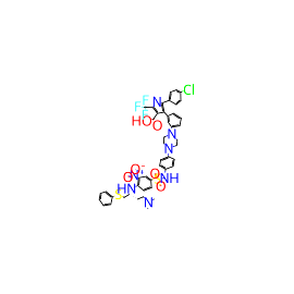 CN(C)CC[C@H](CSc1ccccc1)Nc1ccc(S(=O)(=O)Nc2ccc(N3CCN(c4cccc(-c5c(C(=O)O)c(C(F)(F)F)n(C)c5-c5ccc(Cl)cc5)c4)CC3)cc2)cc1[N+](=O)[O-]